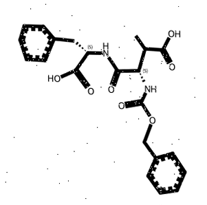 CC(C(=O)O)[C@H](NC(=O)OCc1ccccc1)C(=O)N[C@@H](Cc1ccccc1)C(=O)O